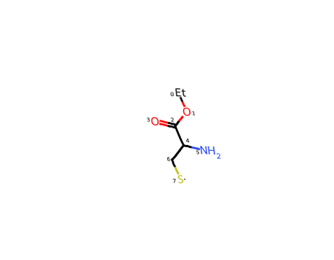 CCOC(=O)C(N)C[S]